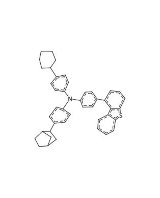 c1ccc2c(c1)sc1cccc(-c3ccc(N(c4ccc(C5CCCCC5)cc4)c4ccc(C5CC6CCC5C6)cc4)cc3)c12